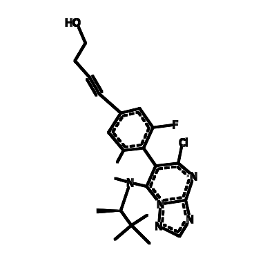 Cc1cc(C#CCCO)cc(F)c1-c1c(Cl)nc2ncnn2c1N(C)[C@H](C)C(C)(C)C